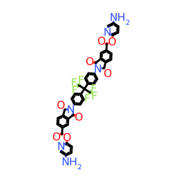 Nc1ccc(OC(=O)c2ccc3c(c2)C(=O)N(c2ccc(C(c4ccc(N5C(=O)c6ccc(C(=O)Oc7ccc(N)cn7)cc6C5=O)cc4)(C(F)(F)F)C(F)(F)F)cc2)C3=O)nc1